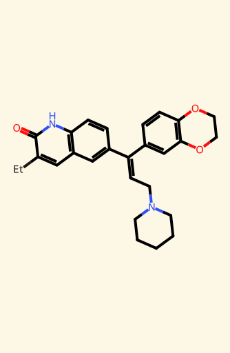 CCc1cc2cc(C(=CCN3CCCCC3)c3ccc4c(c3)OCCO4)ccc2[nH]c1=O